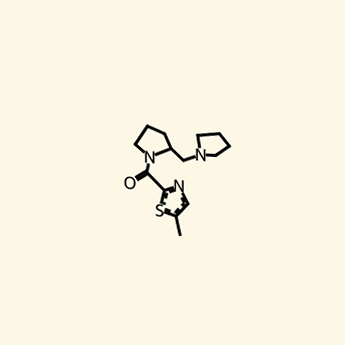 Cc1cnc(C(=O)N2CCCC2CN2CCCC2)s1